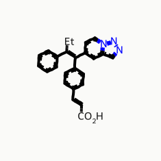 CC/C(=C(/c1ccc(/C=C/C(=O)O)cc1)c1ccn2nncc2c1)c1ccccc1